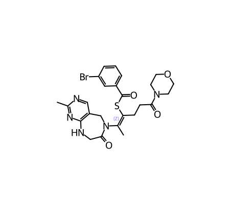 C/C(=C(\CCC(=O)N1CCOCC1)SC(=O)c1cccc(Br)c1)N1Cc2cnc(C)nc2NCC1=O